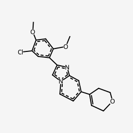 COc1cc(OC)c(-c2cn3ccc(C4=CCOCC4)cc3n2)cc1Cl